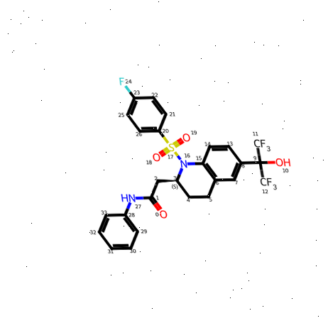 O=C(C[C@@H]1CCc2cc(C(O)(C(F)(F)F)C(F)(F)F)ccc2N1S(=O)(=O)c1ccc(F)cc1)Nc1ccccc1